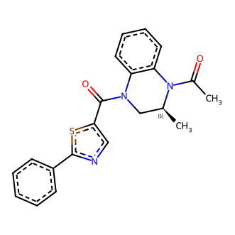 CC(=O)N1c2ccccc2N(C(=O)c2cnc(-c3ccccc3)s2)C[C@@H]1C